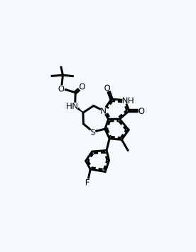 Cc1cc2c(=O)[nH]c(=O)n3c2c(c1-c1ccc(F)cc1)SC[C@@H](NC(=O)OC(C)(C)C)C3